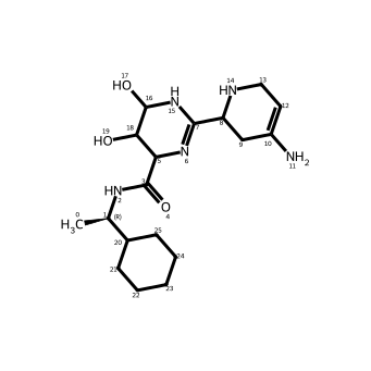 C[C@@H](NC(=O)C1N=C(C2CC(N)=CCN2)NC(O)C1O)C1CCCCC1